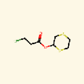 O=C(CCCl)OC1CSCCS1